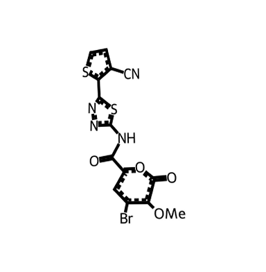 COc1c(Br)cc(C(=O)Nc2nnc(-c3sccc3C#N)s2)oc1=O